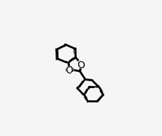 C1CC2CC(C1)CC(C1OC3CCCCC3O1)C2